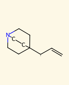 C=C[CH]C12CCN(CC1)CC2